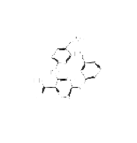 CCc1nc(C(N)=O)c(Nc2ccc(OC)cc2)nc1Oc1cccc(N)c1